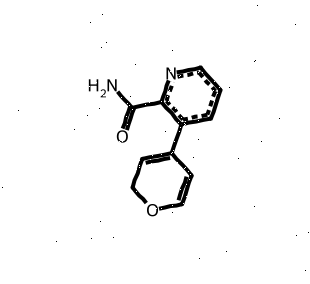 NC(=O)c1ncccc1C1=CCOC=C1